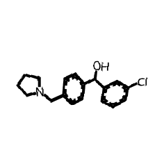 OC(c1ccc(CN2CCCC2)cc1)c1cccc(Cl)c1